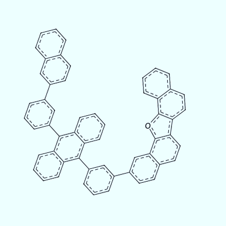 c1cc(-c2ccc3ccccc3c2)cc(-c2c3ccccc3c(-c3cccc(-c4ccc5ccc6c7ccc8ccccc8c7oc6c5c4)c3)c3ccccc23)c1